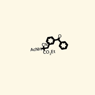 CCOC(=O)C(C#N)(Cc1cccc(C(=O)c2ccccc2)c1)NC(C)=O